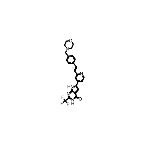 O=c1[nH]c(C(F)(F)F)nc2[nH]c(-c3ccnc(/C=C/c4ccc(CN5CCOCC5)cc4)c3)cc12